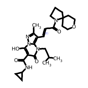 Cc1nn2c(O)c(C(=O)NC3CC3)c(=O)n(CC(C)C)c2c1/C=C/C(=O)N1CCCC12CCOCC2